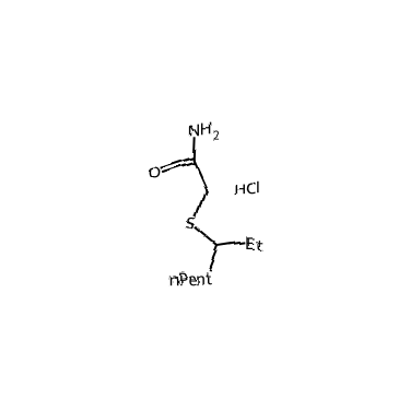 CCCCCC(CC)SCC(N)=O.Cl